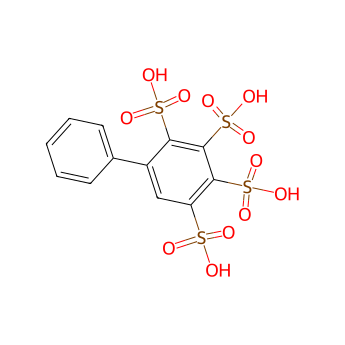 O=S(=O)(O)c1cc(-c2ccccc2)c(S(=O)(=O)O)c(S(=O)(=O)O)c1S(=O)(=O)O